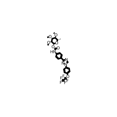 CO[C@@H]1[C@@H](OC)[C@H](C)O[C@H](OC(=O)Nc2ccc(-c3ncn(-c4ccc(OC(F)(F)C(F)(F)F)cc4)n3)cc2)[C@@H]1OC